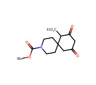 CCOC(=O)C1C(=O)CC(=O)CC12CCN(C(=O)OC(C)(C)C)CC2